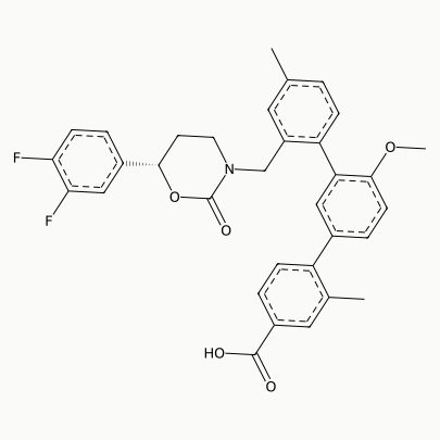 COc1ccc(-c2ccc(C(=O)O)cc2C)cc1-c1ccc(C)cc1CN1CC[C@@H](c2ccc(F)c(F)c2)OC1=O